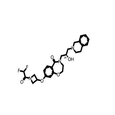 O=C1c2ccc(OC3CN(C(=O)C(F)F)C3)cc2OCCN1C[C@H](O)CN1CCc2ccccc2C1